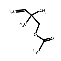 C=CC(C)(C)COC(C)=O